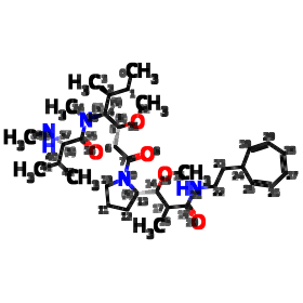 CC[C@H](C)[C@@H]([C@@H](CC(=O)N1CCC[C@H]1C(OC)C(C)C(=O)NCCC1C=CC=CC=C1)OC)N(C)C(=O)[C@@H](NC)C(C)C